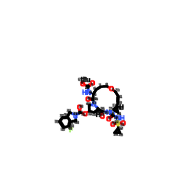 CC(C)(C)OC(=O)N[C@H]1CCCOC/C=C\[C@@H]2C[C@@]2(C(=O)NS(=O)(=O)C2CC2)NC(=O)[C@@H]2C[C@@H](OC(=O)N3Cc4cccc(F)c4C3)CN2C1=O